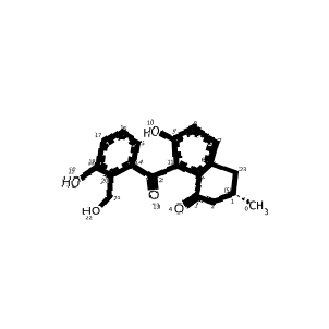 C[C@@H]1CC(=O)c2c(ccc(O)c2C(=O)c2cccc(O)c2CO)C1